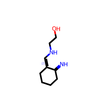 N=C1CCCC/C1=C/NCCO